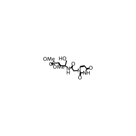 COP(=O)(/C=C/C(CO)NC(=O)Cn1ccc(=O)[nH]c1=O)OC